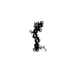 [2H]c1cc2c(cc1N1CCCC(CN3CCN(c4ccc([N+](=O)[O-])c(N)c4)CC3)C1)C(=O)N(C1CCC(=O)NC1=O)C2=O